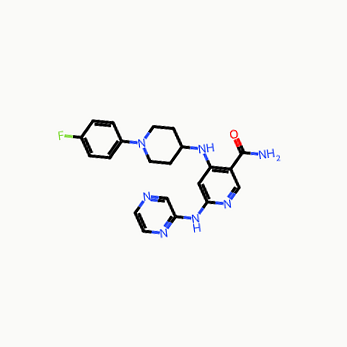 NC(=O)c1cnc(Nc2cnccn2)cc1NC1CCN(c2ccc(F)cc2)CC1